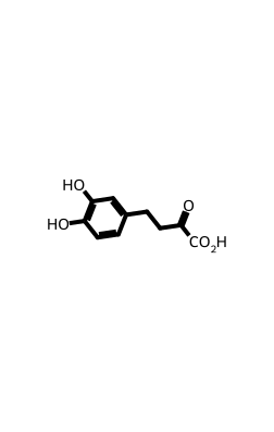 O=C(O)C(=O)CCc1ccc(O)c(O)c1